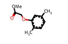 COC(=O)COc1cc(C)ccc1C